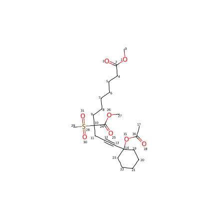 COC(=O)CCCCCCC(CC#CC1(OC(C)=O)CCCCC1)(C(=O)OC)S(C)(=O)=O